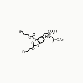 CC(=O)OC(C)CN[C@@H](Cc1ccc(OC(=O)OCCC(C)C)c(OC(=O)OCCC(C)C)c1)C(=O)O